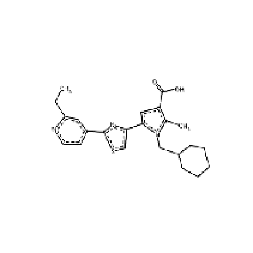 CCc1cc(-c2nc(-c3cc(C(=O)O)c(C)n3CC3CCCCC3)cs2)ccn1